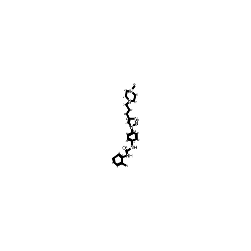 Cc1ccccc1NC(=O)Nc1ccc(-n2cc(CCCN3CCN(C)CC3)nn2)cc1